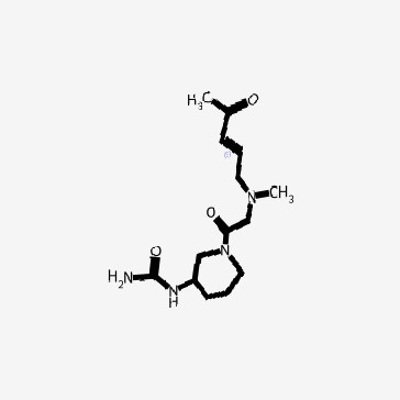 CC(=O)/C=C/CN(C)CC(=O)N1CCCC(NC(N)=O)C1